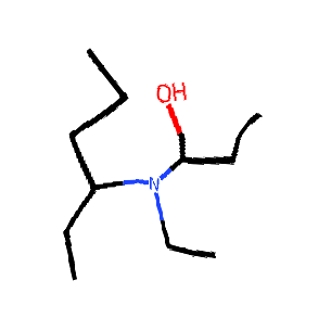 CCCC(CC)N(CC)C(O)CC